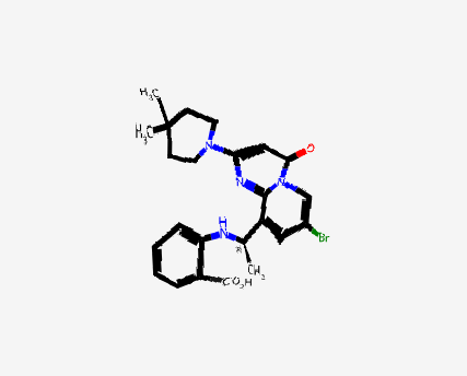 C[C@@H](Nc1ccccc1C(=O)O)c1cc(Br)cn2c(=O)cc(N3CCC(C)(C)CC3)nc12